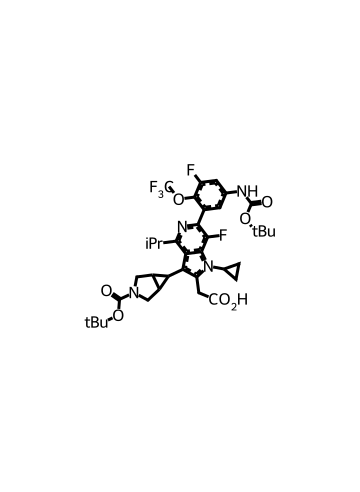 CC(C)c1nc(-c2cc(NC(=O)OC(C)(C)C)cc(F)c2OC(F)(F)F)c(F)c2c1c(C1C3CN(C(=O)OC(C)(C)C)CC31)c(CC(=O)O)n2C1CC1